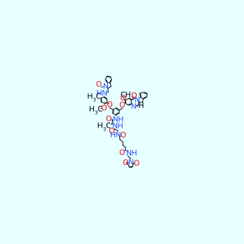 COc1cc2c(cc1OCc1cc(COc3cc(NCC4Cc5ccccc5N4C=O)c(C)cc3OC)cc(NC(=O)C(C)NC(=O)CNC(=O)CCCCC(=O)NCCN3C(=O)C=CC3=O)c1)N=C[C@@H]1Cc3ccccc3N1C2=O